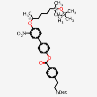 CCCCCCCCCCCCc1ccc(C(=O)Oc2ccc(-c3ccc(O[C@@H](C)CCCC[Si](C)(C)O[Si](C)(C)C)c([N+](=O)[O-])c3)cc2)cc1